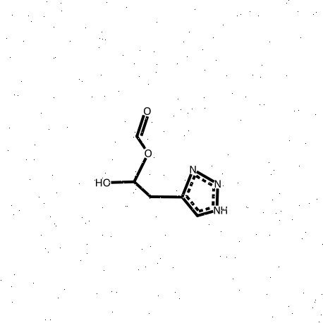 O=COC(O)Cc1c[nH]nn1